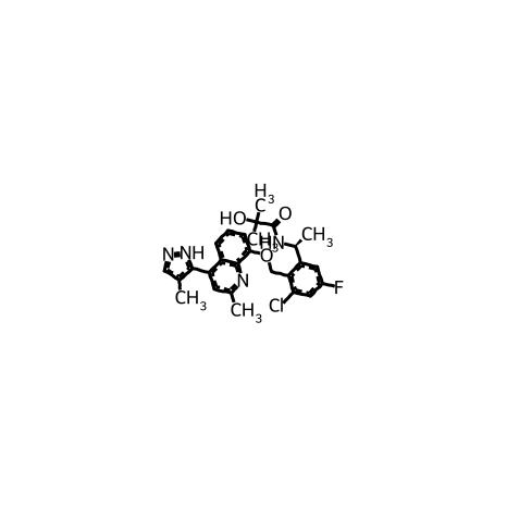 Cc1cc(-c2[nH]ncc2C)c2cccc(OCc3c(Cl)cc(F)cc3[C@H](C)NC(=O)C(C)(C)O)c2n1